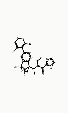 BC1=C(c2cc3c(nn2)[C@@]2([C@H](C)N(CC)C(=O)c4ncco4)CC[C@@H]3C2=C)C(F)=CCC1